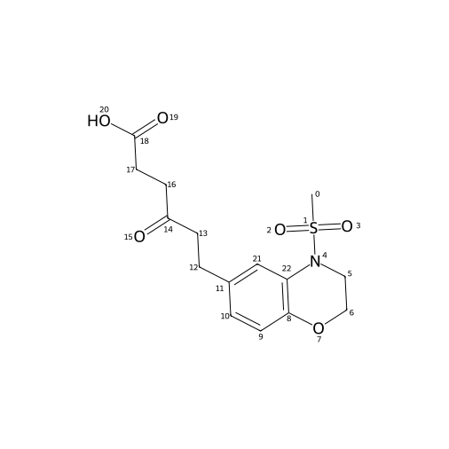 CS(=O)(=O)N1CCOc2ccc(CCC(=O)CCC(=O)O)cc21